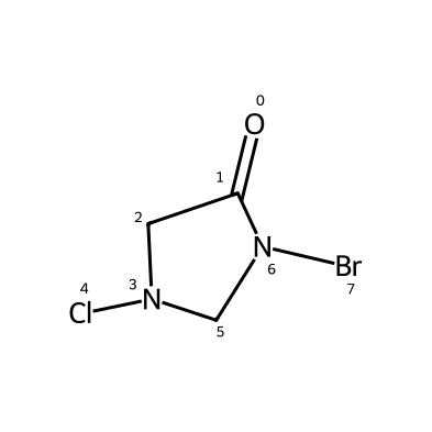 O=C1CN(Cl)CN1Br